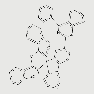 c1ccc(-c2nc(-c3ccc4c(c3)C3(c5ccccc5-4)c4ccc5ccccc5c4Sc4c3ccc3ccccc43)nc3ccccc23)cc1